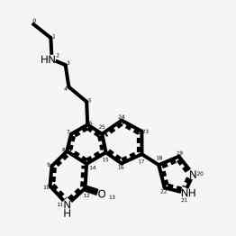 CCNCCCc1cc2cc[nH]c(=O)c2c2cc(-c3cn[nH]c3)ccc12